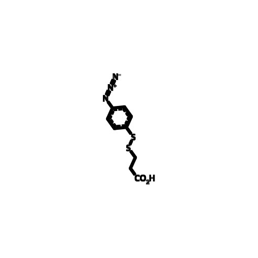 [N-]=[N+]=Nc1ccc(SSCCC(=O)O)cc1